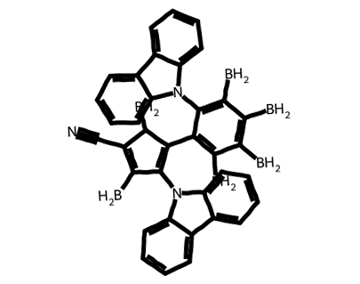 BC1=C(C#N)C(B)C(c2c(B)c(B)c(B)c(B)c2-n2c3ccccc3c3ccccc32)=C1n1c2ccccc2c2ccccc21